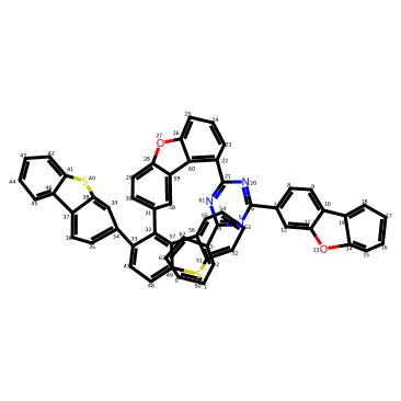 c1ccc(-c2nc(-c3ccc4c(c3)oc3ccccc34)nc(-c3cccc4oc5ccc(-c6c(-c7ccc8c(c7)sc7ccccc78)ccc7sc8ccccc8c67)cc5c34)n2)cc1